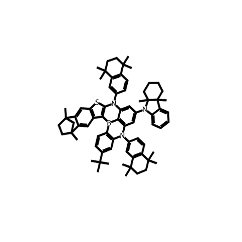 CC(C)(C)c1ccc2c(c1)N(c1ccc3c(c1)C(C)(C)CCC3(C)C)c1cc(N3c4ccccc4C4(C)CCCCC34C)cc3c1B2c1c(sc2cc4c(cc12)C1(C)CCC4(C)C1)N3c1ccc2c(c1)C(C)(C)CCC2(C)C